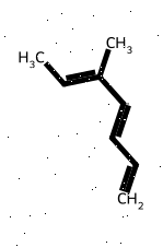 C=C/C=[C]/C(C)=CC